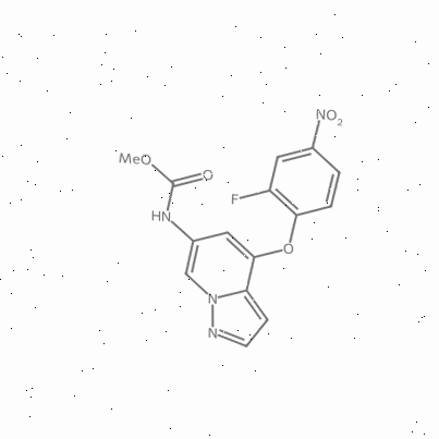 COC(=O)Nc1cc(Oc2ccc([N+](=O)[O-])cc2F)c2ccnn2c1